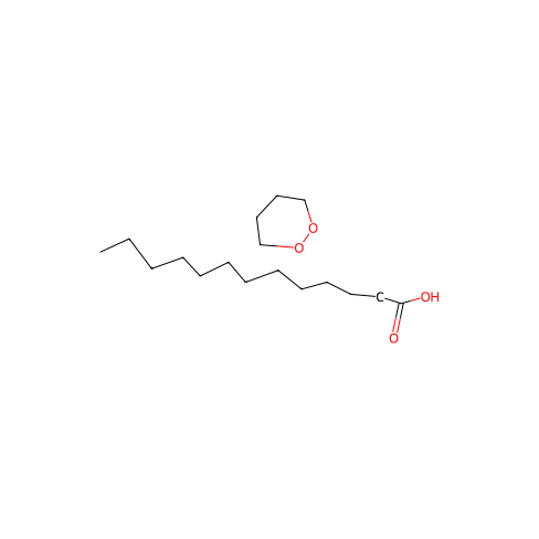 C1CCOOC1.CCCCCCCCCCCCC(=O)O